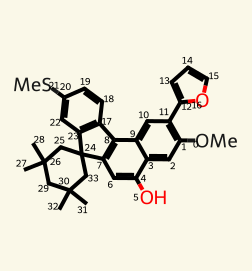 COc1cc2c(O)cc3c(c2cc1-c1ccco1)-c1ccc(SC)cc1C31CC(C)(C)CC(C)(C)C1